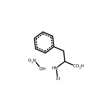 CCNC(Cc1ccccc1)C(=O)O.O=[N+]([O-])O